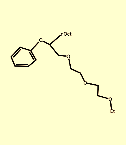 CCCCCCCCC(COCCOCCOCC)Oc1ccccc1